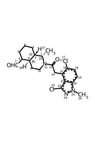 C[C@H]1[C@H]2CCCC(C=O)[C@@H]2CCN1C(=O)Cc1c(Cl)ccc2c1c(Cl)nn2C